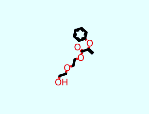 C=C(Oc1ccccc1)C(=O)OCCOCCO